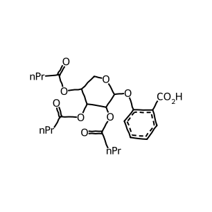 CCCC(=O)OC1COC(Oc2ccccc2C(=O)O)C(OC(=O)CCC)C1OC(=O)CCC